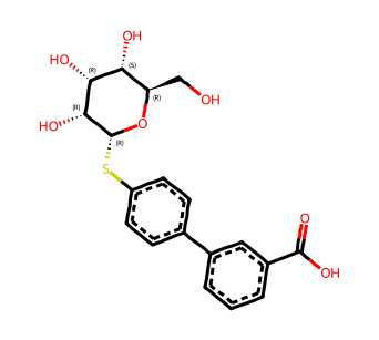 O=C(O)c1cccc(-c2ccc(S[C@H]3O[C@H](CO)[C@@H](O)[C@@H](O)[C@H]3O)cc2)c1